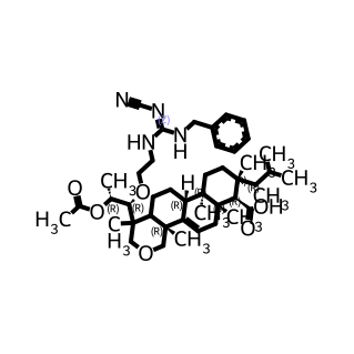 CC(=O)O[C@H](C)[C@H](OCCN/C(=N\C#N)NCc1ccccc1)C1(C)COC[C@@]2(C)C3=CC[C@@]4(C)[C@H](C(=O)O)[C@@](C)([C@H](C)C(C)C)CC[C@]4(C)[C@H]3CCC12